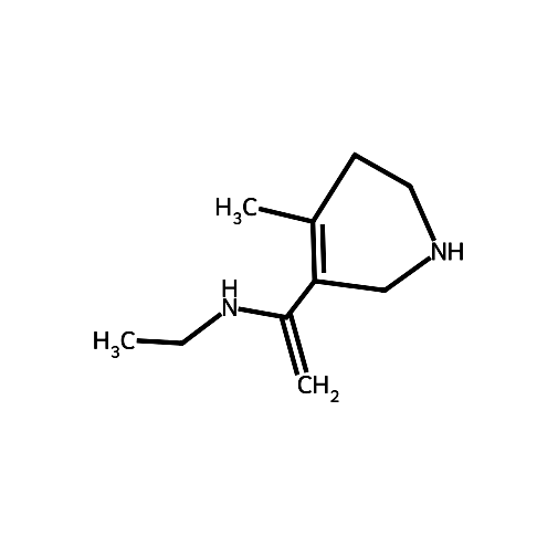 C=C(NCC)C1=C(C)CCNC1